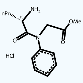 CCC[C@H](N)C(=O)N(CC(=O)OC)c1ccccc1.Cl